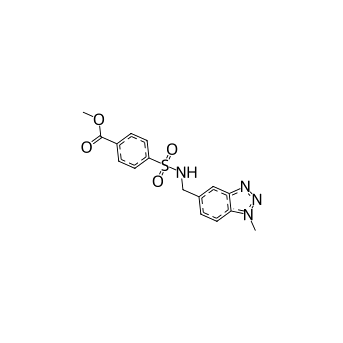 COC(=O)c1ccc(S(=O)(=O)NCc2ccc3c(c2)nnn3C)cc1